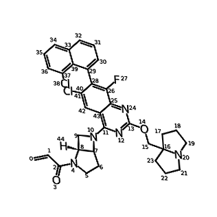 C=CC(=O)N1CCC2[C@H]1CN2c1nc(OCC23CCCN2CCC3)nc2c(F)c(-c3cccc4cccc(Cl)c34)c(Cl)cc12